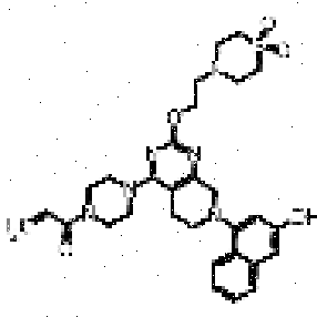 C=CC(=O)N1CCN(c2nc(OCCN3CCS(=O)(=O)CC3)nc3c2CCN(c2cc(O)cc4ccccc24)C3)CC1